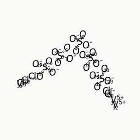 O=S(=O)([O-])[O-].O=S(=O)([O-])[O-].O=S(=O)([O-])[O-].O=S(=O)([O-])[O-].O=S(=O)([O-])[O-].[Cl-].[Cl-].[Cl-].[Cl-].[Cl-].[V+5].[V+5].[V+5]